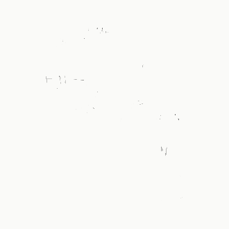 COC(=O)c1cc(F)c(-c2ccc3c(c2)ncn3C2CCCCC2)c([N+](=O)[O-])c1N